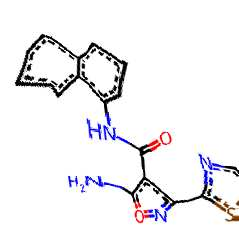 Nc1onc(-c2nccs2)c1C(=O)Nc1cccc2ccccc12